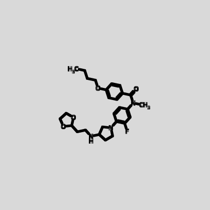 CCCCOc1ccc(C(=O)N(C)c2ccc(N3CCC(NCCC4OCCO4)C3)c(F)c2)cc1